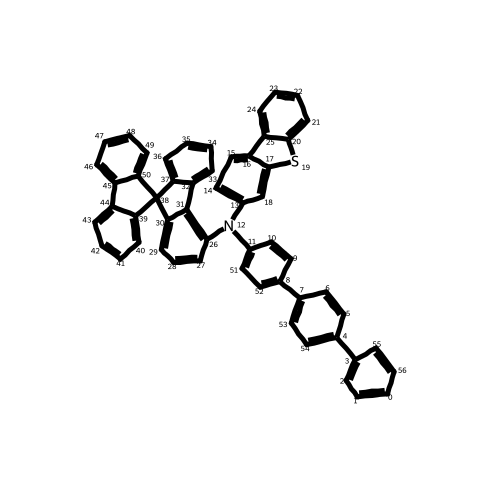 c1ccc(-c2ccc(-c3ccc(N(c4ccc5c(c4)sc4ccccc45)c4cccc5c4-c4ccccc4C54c5ccccc5-c5ccccc54)cc3)cc2)cc1